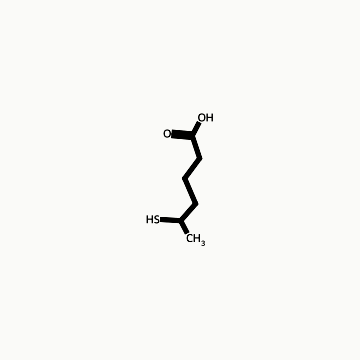 CC(S)CCCC(=O)O